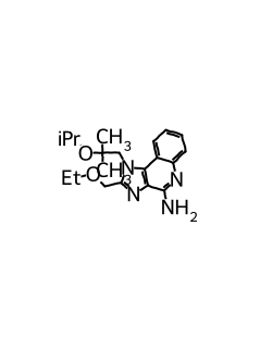 CCOCc1nc2c(N)nc3ccccc3c2n1CC(C)(C)OC(C)C